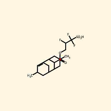 CC1C=C2CC(C1)C1CC(C)CC2C1C(=O)OCC(F)C(F)(F)S(=O)(=O)O